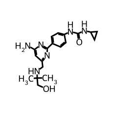 CC(C)(CO)NCc1cc(N)nc(-c2ccc(NC(=O)NC3CC3)cc2)n1